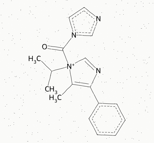 CC1=C(c2ccccc2)N=C[N+]1(C(=O)n1ccnc1)C(C)C